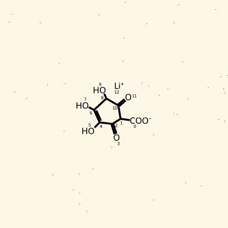 O=C([O-])C1C(=O)C(O)=C(O)C(O)C1=O.[Li+]